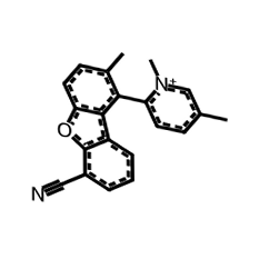 Cc1ccc(-c2c(C)ccc3oc4c(C#N)cccc4c23)[n+](C)c1